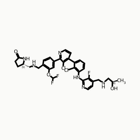 C[C@@H](O)CNCc1ccnc(Nc2cccc(-c3ccnc(-c4ccc(CNC[C@@H]5CCC(=O)N5)c(OC(F)F)c4)c3Cl)c2Cl)c1F